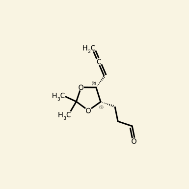 C=C=C[C@H]1OC(C)(C)O[C@H]1CCC=O